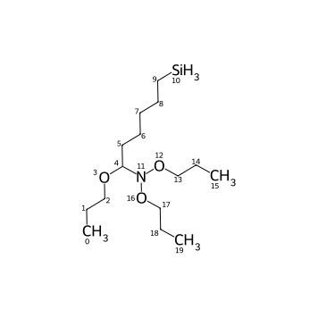 CCCOC(CCCCC[SiH3])N(OCCC)OCCC